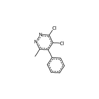 Cc1nnc(Cl)c(Cl)c1-c1ccccc1